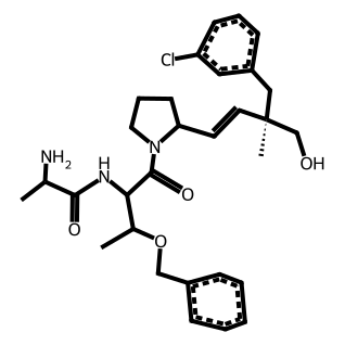 CC(N)C(=O)NC(C(=O)N1CCCC1/C=C/[C@](C)(CO)Cc1cccc(Cl)c1)C(C)OCc1ccccc1